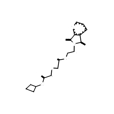 O=C(CSCC(=O)NC1CCC1)NCCN1C(=O)c2cccnc2C1=O